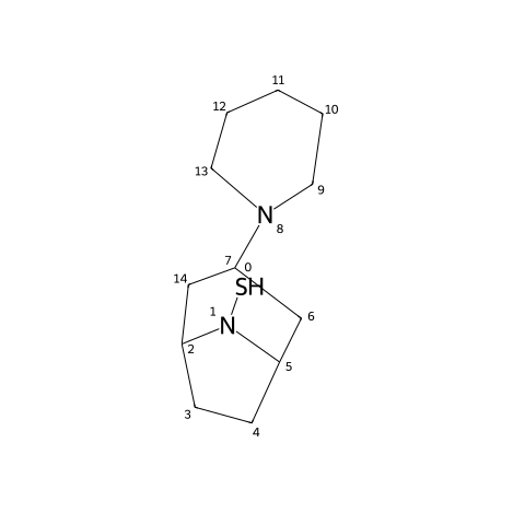 SN1C2CCC1CC(N1CCCCC1)C2